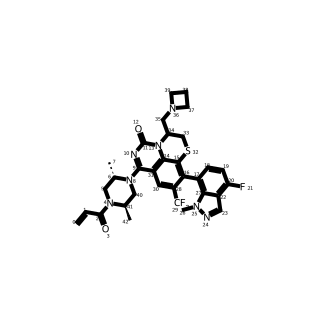 C=CC(=O)N1C[C@H](C)N(c2nc(=O)n3c4c(c(-c5ccc(F)c6cnn(C)c56)c(C(F)(F)F)cc24)SCC3CN2CCC2)C[C@H]1C